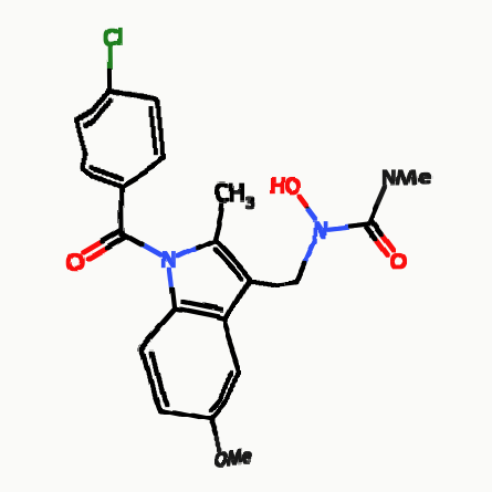 CNC(=O)N(O)Cc1c(C)n(C(=O)c2ccc(Cl)cc2)c2ccc(OC)cc12